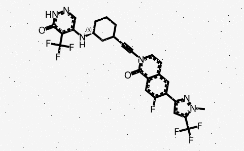 Cn1nc(-c2cc3ccn(C#CC4CCC[C@H](Nc5cn[nH]c(=O)c5C(F)(F)F)C4)c(=O)c3cc2F)cc1C(F)(F)F